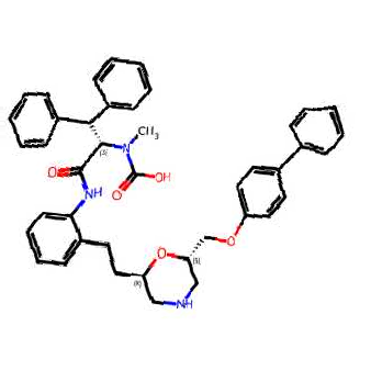 CN(C(=O)O)[C@H](C(=O)Nc1ccccc1CC[C@@H]1CNC[C@@H](COc2ccc(-c3ccccc3)cc2)O1)C(c1ccccc1)c1ccccc1